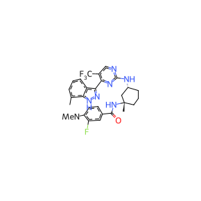 CNc1ccc(C(=O)N[C@@]2(C)CCC[C@@H](Nc3ncc(C(F)(F)F)c(-c4n[nH]c5c(C)cccc45)n3)C2)cc1F